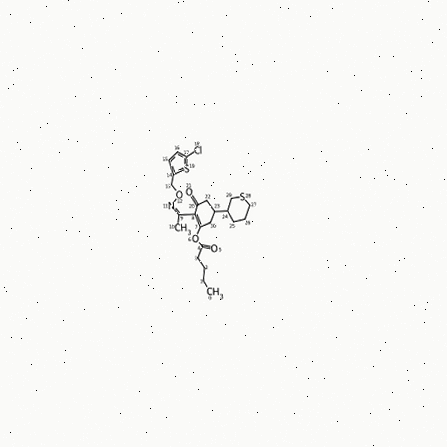 CCCCC(=O)OC1=C(/C(C)=N\OCc2ccc(Cl)s2)C(=O)CC(C2CCCSC2)C1